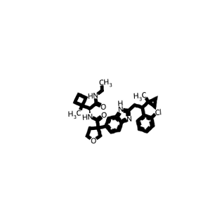 CCNC(=O)[C@H](NC(=O)C1(c2ccc3nc(CC(c4ccccc4Cl)C4(C)CC4)[nH]c3c2)CCOC1)C1(C)CCC1